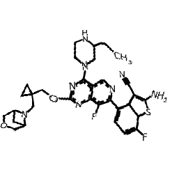 CCC1CN(c2nc(OCC3(CN4C5COCC4C5)CC3)nc3c(F)c(C4=CC=C(F)C5SC(N)=C(C#N)C45)ncc23)CCN1